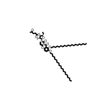 CCCCCCCCCCCCCCCCCCCCOc1cccc(C(=O)n2c(=O)ccn([C@@H]3O[C@H](CC)C(OC(=O)CCC(C)=O)[C@@H]3F)c2=O)c1OCCCCCCCCCCCCCCCCCCCC